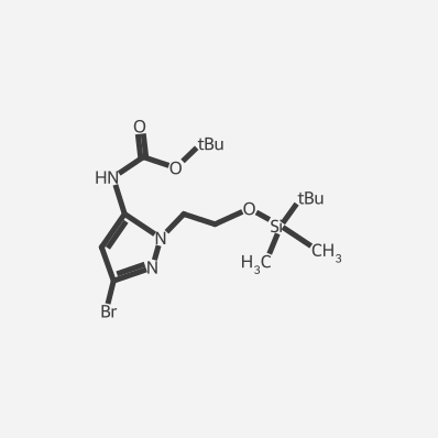 CC(C)(C)OC(=O)Nc1cc(Br)nn1CCO[Si](C)(C)C(C)(C)C